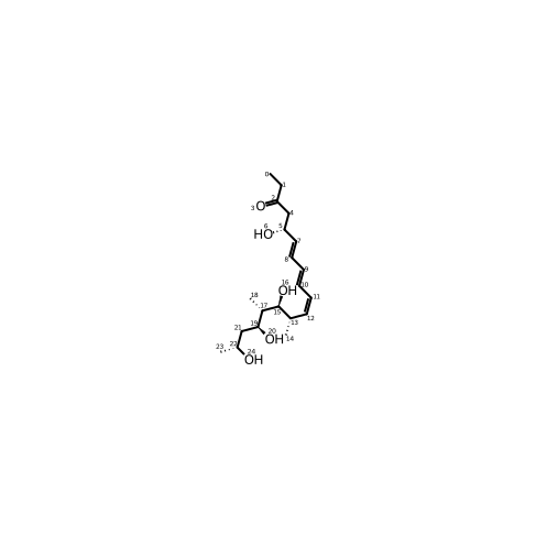 CCC(=O)C[C@@H](O)/C=C/C=C/C=C\[C@H](C)[C@H](O)[C@@H](C)[C@@H](O)C[C@@H](C)O